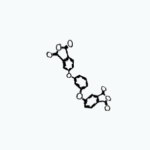 O=C1OC(=O)c2cc(Oc3cccc(Oc4ccc5c(c4)C(=O)OC5=O)c3)ccc21